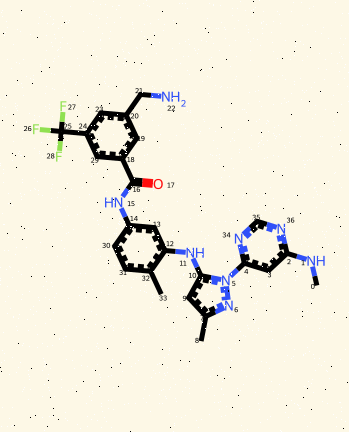 CNc1cc(-n2nc(C)cc2Nc2cc(NC(=O)c3cc(CN)cc(C(F)(F)F)c3)ccc2C)ncn1